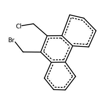 ClCc1c(CBr)c2ccccc2c2ccccc12